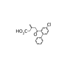 C=C(CC(=O)O)CC(=O)c1cc(Cl)ccc1-c1ccccc1